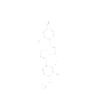 CCOc1ccc(C2=CCC3C(c4ccc(C)cc4F)=CCC23)c(F)c1F